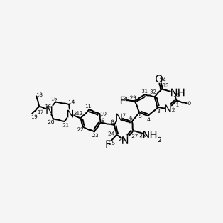 Cc1nc2cc(-c3nc(-c4ccc(N5CCN(C(C)C)CC5)cc4)c(F)nc3N)c(F)cc2c(=O)[nH]1